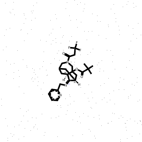 CC(C)(C)C(=O)OC12C[C@H]3CC(C[C@@H]1/C3=N\Cc1ccccn1)CN(C(=O)CC(F)(F)F)C2